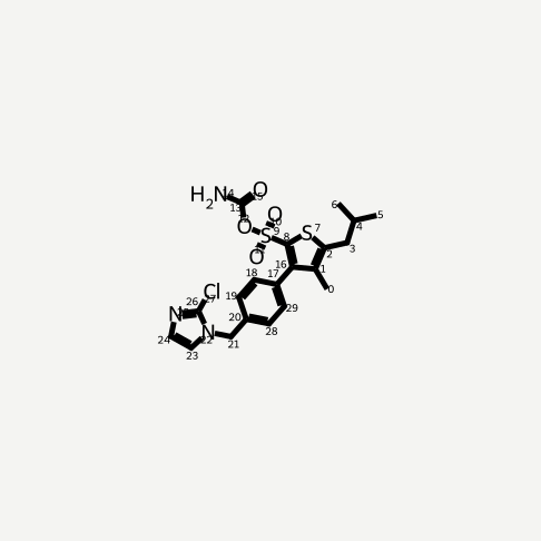 Cc1c(CC(C)C)sc(S(=O)(=O)OC(N)=O)c1-c1ccc(Cn2ccnc2Cl)cc1